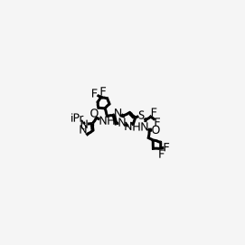 CC(C)n1nccc1C(=O)N[C@H](c1cn2ncc(SC(NC(=O)CC3CC(F)(F)C3)C(F)F)cc2n1)C1CCC(F)(F)CC1